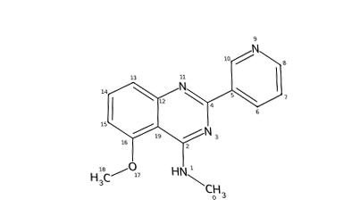 CNc1nc(-c2cccnc2)nc2cccc(OC)c12